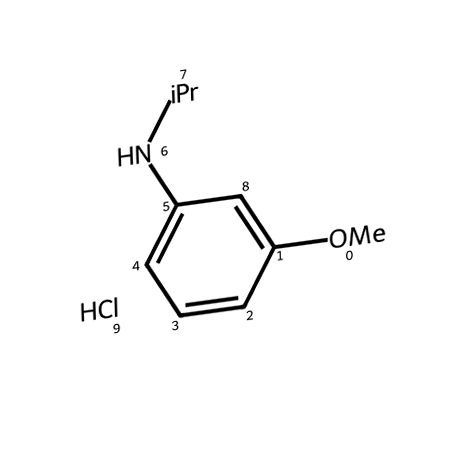 COc1cccc(NC(C)C)c1.Cl